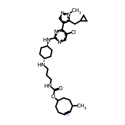 CC1/C=C\CCC(OC(=O)NCCCN[C@H]2CC[C@H](Nc3ncc(Cl)c(-c4cnn(C)c4CC4CC4)n3)CC2)CC1